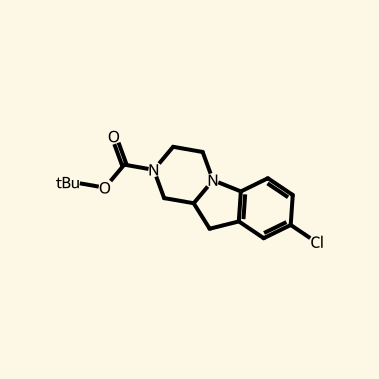 CC(C)(C)OC(=O)N1CCN2c3ccc(Cl)cc3CC2C1